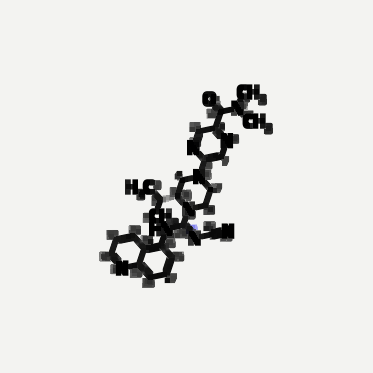 CC(C)[C@@H]1CN(c2cnc(C(=O)N(C)C)cn2)CCN1/C(=N\C#N)Nc1cccc2ncccc12